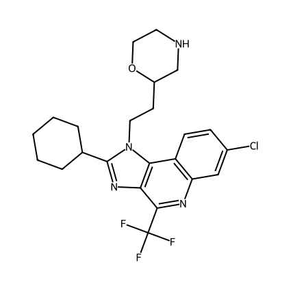 FC(F)(F)c1nc2cc(Cl)ccc2c2c1nc(C1CCCCC1)n2CCC1CNCCO1